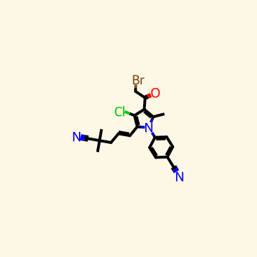 Cc1c(C(=O)CBr)c(Cl)c(/C=C/CC(C)(C)C#N)n1-c1ccc(C#N)cc1